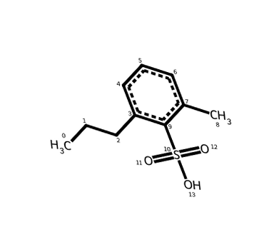 CCCc1cccc(C)c1S(=O)(=O)O